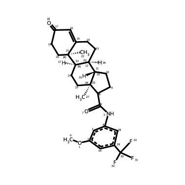 COc1cc(NC(=O)C2CC[C@H]3[C@@H]4CCC5=CC(=O)CC[C@]5(C)[C@@H]4CC[C@]23C)cc(C(F)(F)F)c1